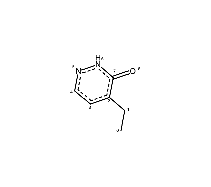 CCc1ccn[nH]c1=O